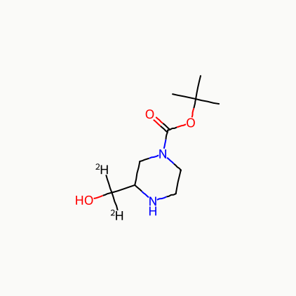 [2H]C([2H])(O)C1CN(C(=O)OC(C)(C)C)CCN1